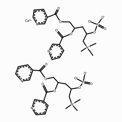 C[N+](C)(C)CC(CC(COC(=O)c1cccnc1)OC(=O)c1cccnc1)OP(=O)([O-])[O-].C[N+](C)(C)CC(CC(COC(=O)c1cccnc1)OC(=O)c1cccnc1)OP(=O)([O-])[O-].[Ca+2]